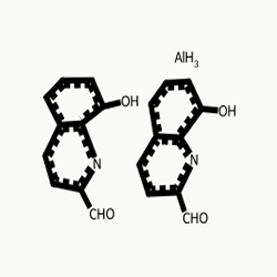 O=Cc1ccc2cccc(O)c2n1.O=Cc1ccc2cccc(O)c2n1.[AlH3]